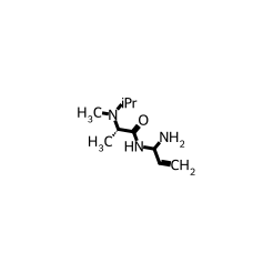 C=CC(N)NC(=O)[C@H](C)N(C)C(C)C